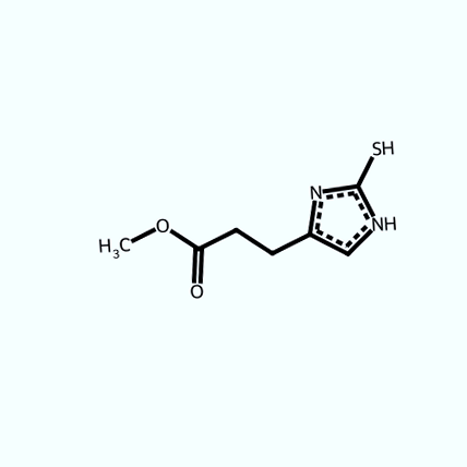 COC(=O)CCc1c[nH]c(S)n1